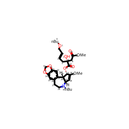 CCCCOC/C=C/C[C@@](O)(CC(=O)OC)C(=O)O[C@@H]1C(OC)=C[C@H]2[C@@H]1c1cc3c(cc1CCN2CCCC)OCO3